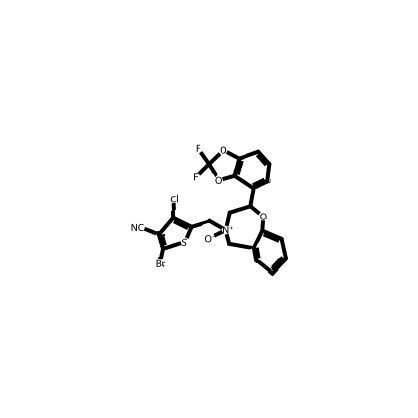 N#Cc1c(Br)sc(C[N+]2([O-])Cc3ccccc3OC(c3cccc4c3OC(F)(F)O4)C2)c1Cl